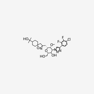 CO[C@@H]1[C@@H](n2cc(-c3ccc(Cl)c(F)c3F)nn2)[C@@H](O)[C@@H](CO)O[C@@H]1CC1=NOC2(CCC(C(C)(C)O)CC2)C1